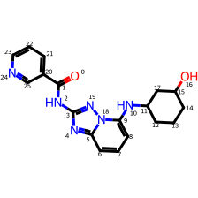 O=C(Nc1nc2cccc(NC3CCCC(O)C3)n2n1)c1cccnc1